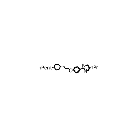 CCCCC[C@H]1CC[C@H](CCCOc2ccc(-c3ncc(CCC)cn3)cc2)CC1